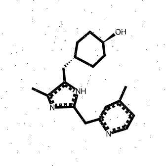 Cc1ccnc(Cc2nc(C)c(C[C@H]3CC[C@H](O)CC3)[nH]2)c1